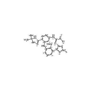 BC(B)(B)NC(=O)c1nnc(NC(=O)N(C)CC)cc1Nc1cccc(-c2ncn(C)n2)c1OC